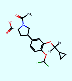 [2H]C([2H])(Oc1cc(C2C[C@H](C(=O)O)N(C(C)=O)C2)ccc1OC(F)F)C1CC1